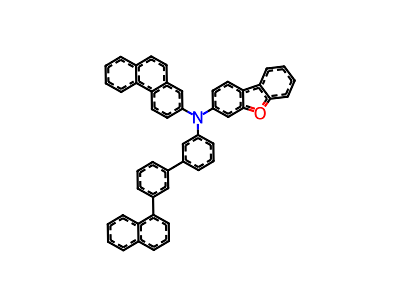 c1cc(-c2cccc(N(c3ccc4c(ccc5ccccc54)c3)c3ccc4c(c3)oc3ccccc34)c2)cc(-c2cccc3ccccc23)c1